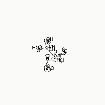 CC1(C)C(/C=C/C(=C/C=C2/N(CCCS(=O)(=O)O)c3ccc(S(=O)(=O)O)cc3C2(C)C)c2cccc(CCCCC(=O)ON3C(=O)CCC3=O)c2)=Nc2c1cc(Cl)c[n+]2CCCS(=O)(=O)[O-]